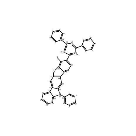 Cc1c(-c2nc(-c3ccccc3)nc(-c3ccccc3)n2)ccc2c1oc1cc3c4ccccc4n(-c4ccccc4)c3cc12